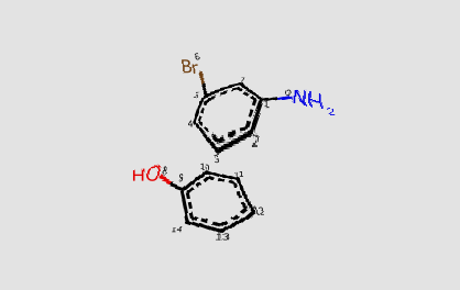 Nc1cccc(Br)c1.Oc1ccccc1